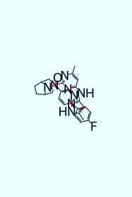 Cc1cc(Nc2cc(C)[nH]n2)nc(N2CC3CCC(C2)N3C(=O)c2ccc(-c3ccc(F)cc3)nc2)n1